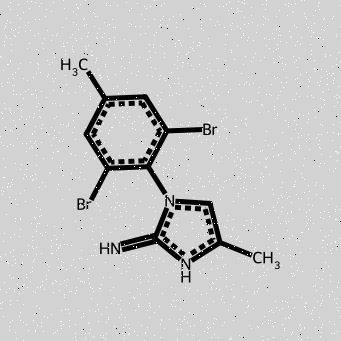 Cc1cc(Br)c(-n2cc(C)[nH]c2=N)c(Br)c1